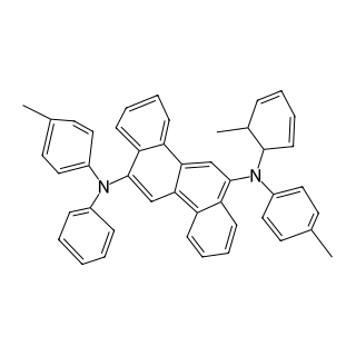 Cc1ccc(N(c2ccccc2)c2cc3c4ccccc4c(N(c4ccc(C)cc4)C4C=CC=CC4C)cc3c3ccccc23)cc1